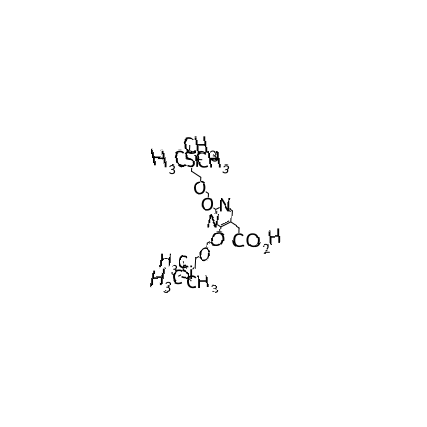 C[Si](C)(C)CCOCOc1ncc(CC(=O)O)c(OCOCC[Si](C)(C)C)n1